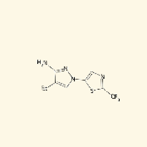 CCc1cn(-c2cnc(C(F)(F)F)s2)nc1N